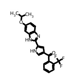 CC(C)Oc1ccc2nc(-c3cc(C(=O)c4ccccc4C(F)(F)F)c[nH]3)[nH]c2c1